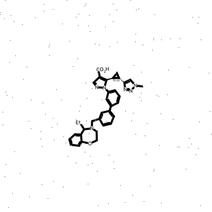 CCC1c2ccccc2OCCN1Cc1cccc(-c2cccc(-n3ncc(C(=O)O)c3[C@H]3C[C@@H]3c3cn(C)nn3)c2)c1